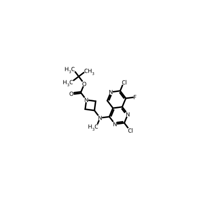 CN(c1nc(Cl)nc2c(F)c(Cl)ncc12)C1CN(C(=O)OC(C)(C)C)C1